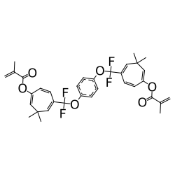 C=C(C)C(=O)OC1=CC(C)(C)C=C(C(F)(F)Oc2ccc(OC(F)(F)C3=CC(C)(C)C=C(OC(=O)C(=C)C)C=C3)cc2)C=C1